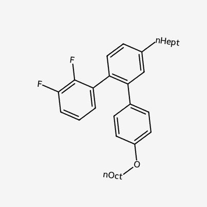 CCCCCCCCOc1ccc(-c2cc(CCCCCCC)ccc2-c2cccc(F)c2F)cc1